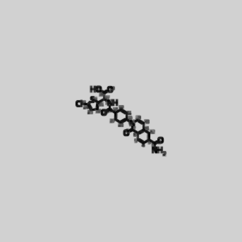 NC(=O)c1ccc2c(=O)n(-c3ccc(C(=O)NC(C(=O)O)c4ccc(Cl)s4)cc3)ccc2c1